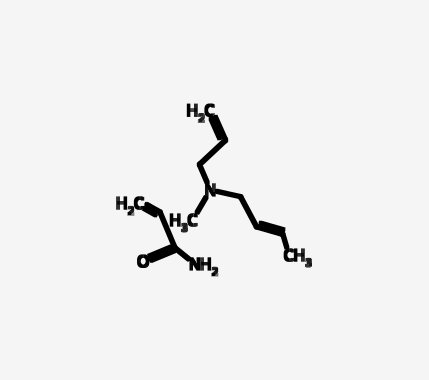 C=CC(N)=O.C=CCN(C)CC=CC